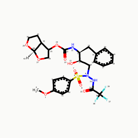 COc1ccc(S(=O)(=O)N(C[C@@H](O)[C@H](Cc2ccccc2)NC(=O)OC2CO[C@H]3OCCC23)NC(=O)C(F)(F)F)cc1